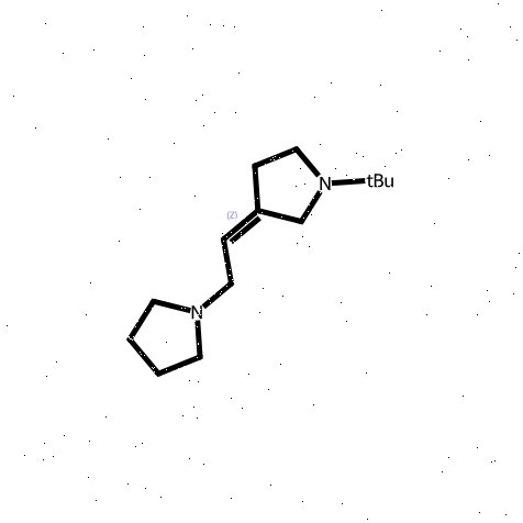 CC(C)(C)N1CC/C(=C/CN2CCCC2)C1